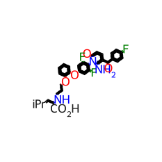 CC(C)C[C@H](NCCCOc1ccccc1Oc1cc(F)c(-n2c(N)c(C(=O)c3ccc(F)cc3)ccc2=O)c(F)c1)C(=O)O